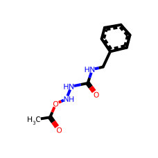 CC(=O)ONNC(=O)NCc1ccccc1